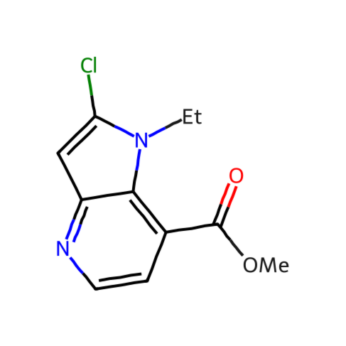 CCn1c(Cl)cc2nccc(C(=O)OC)c21